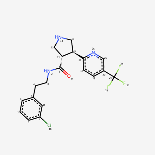 O=C(NCCc1cccc(Cl)c1)[C@@H]1CNC[C@H]1c1ccc(C(F)(F)F)cn1